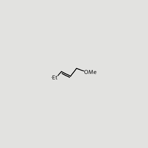 C[CH]C=CCOC